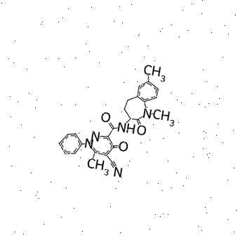 Cc1ccc2c(c1)CCC(NC(=O)c1nn(-c3ccccc3)c(C)c(C#N)c1=O)C(=O)N2C